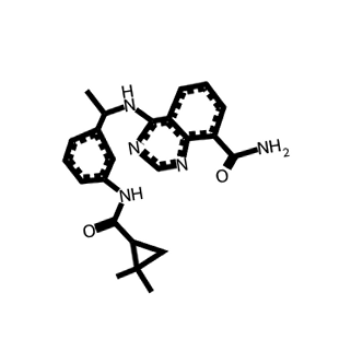 CC(Nc1ncnc2c(C(N)=O)cccc12)c1cccc(NC(=O)C2CC2(C)C)c1